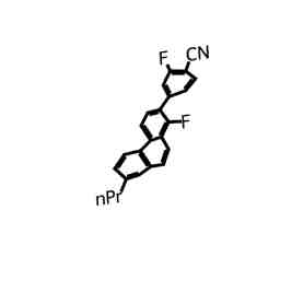 CCCc1ccc2c(ccc3c(F)c(-c4ccc(C#N)c(F)c4)ccc32)c1